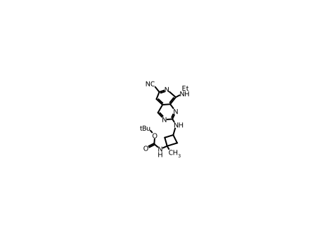 CCNc1nc(C#N)cc2cnc(NC3CC(C)(NC(=O)OC(C)(C)C)C3)nc12